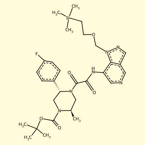 C[C@@H]1CN(C(=O)C(=O)Nc2cncc3cnn(COCC[Si](C)(C)C)c23)[C@@H](c2ccc(F)cc2)CN1C(=O)OC(C)(C)C